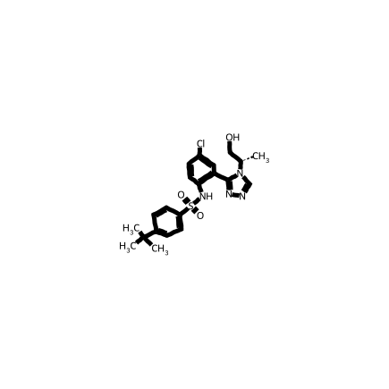 C[C@@H](CO)n1cnnc1-c1cc(Cl)ccc1NS(=O)(=O)c1ccc(C(C)(C)C)cc1